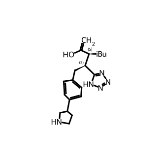 C=C(O)[C@@H](C(C)CC)[C@H](Cc1ccc(C2CCNC2)cc1)c1nnn[nH]1